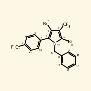 FC(F)(F)c1ccc(-c2c(Br)c(C(F)(F)F)c(Br)n2Cc2ccccc2)cc1